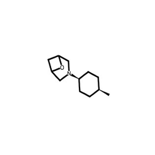 C[C@H]1CC[C@@H](N2CC3CC(C2)O3)CC1